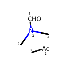 CC(C)=O.CN(C)C=O